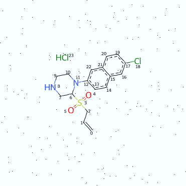 C=CCS(=O)(=O)C1CNCCN1c1ccc2cc(Cl)ccc2c1.Cl